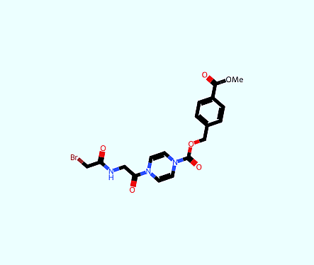 COC(=O)c1ccc(COC(=O)N2C=CN(C(=O)CNC(=O)CBr)C=C2)cc1